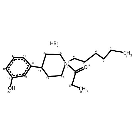 Br.CCCCCC[N+]1(C(=O)CC)CCC(c2cccc(O)c2)CC1